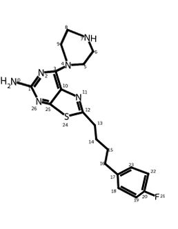 Nc1nc(N2CCNCC2)c2nc(CCCCc3ccc(F)cc3)sc2n1